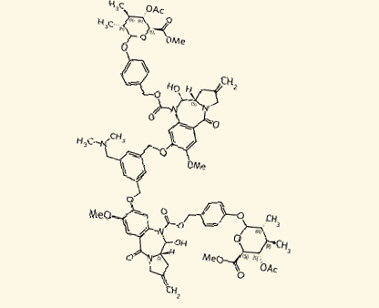 C=C1C[C@H]2C(O)N(C(=O)OCc3ccc(OC4O[C@H](C(=O)OC)[C@@H](OC(C)=O)[C@H](C)[C@H]4C)cc3)c3cc(OCc4cc(COc5cc6c(cc5OC)C(=O)N5CC(=C)C[C@H]5C(O)N6C(=O)OCc5ccc(OC6O[C@H](C(=O)OC)[C@@H](OC(C)=O)[C@H](C)[C@H]6C)cc5)cc(CN(C)C)c4)c(OC)cc3C(=O)N2C1